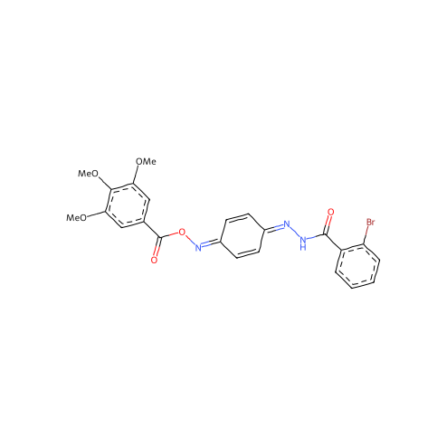 COc1cc(C(=O)ON=C2C=CC(=NNC(=O)c3ccccc3Br)C=C2)cc(OC)c1OC